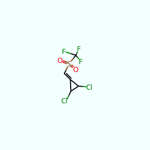 O=S(=O)(C=C1C(Cl)C1Cl)C(F)(F)F